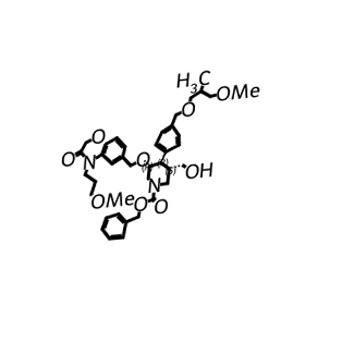 COCCCN1C(=O)COc2ccc(CO[C@H]3CN(C(=O)OCc4ccccc4)C[C@@H](CO)[C@@H]3c3ccc(COCC(C)COC)cc3)cc21